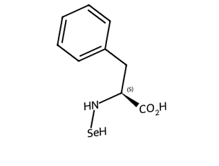 O=C(O)[C@H](Cc1ccccc1)N[SeH]